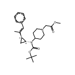 COC(=O)CN1CCC(N(C(=O)OC(C)(C)C)[C@@H]2C[C@H]2C(C)=Cc2ccccc2)CC1